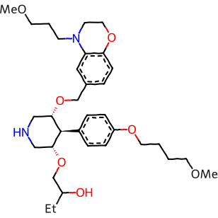 CCC(O)CO[C@@H]1CNC[C@H](OCc2ccc3c(c2)N(CCCOC)CCO3)[C@H]1c1ccc(OCCCCOC)cc1